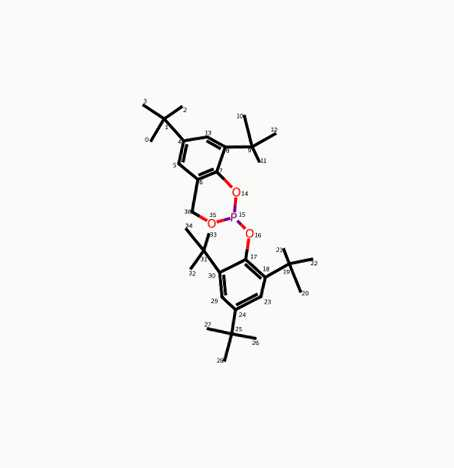 CC(C)(C)c1cc2c(c(C(C)(C)C)c1)OP(Oc1c(C(C)(C)C)cc(C(C)(C)C)cc1C(C)(C)C)OC2